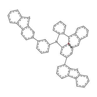 c1cc(-c2ccc3c(c2)sc2ccccc23)cc(N(c2cccc(-c3cccc4c3sc3ccccc34)c2)c2ccccc2-c2cccc3ccccc23)c1